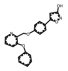 Oc1cc(-c2ccc(OCc3ncccc3Oc3ccccc3)cc2)on1